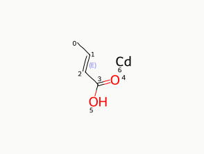 C/C=C/C(=O)O.[Cd]